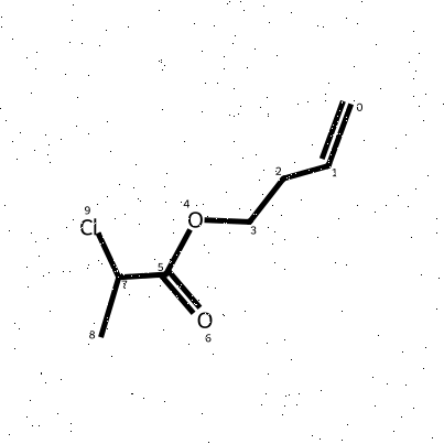 C=CCCOC(=O)C(C)Cl